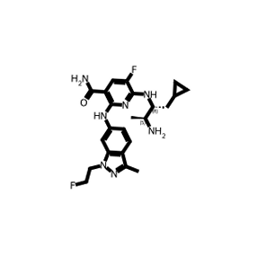 Cc1nn(CCF)c2cc(Nc3nc(N[C@H](CC4CC4)[C@H](C)N)c(F)cc3C(N)=O)ccc12